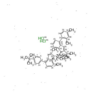 CC1=Cc2c(-c3ccc(C(C)(C)C)cc3)ccc(C)c2[CH]1[Zr]([CH3])([CH3])(=[SiH2])[CH]1C(C(C)C)=Cc2c(-c3ccc(C)cc3C)cccc21.Cl.Cl